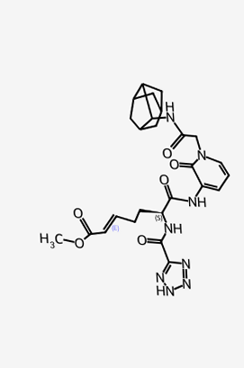 COC(=O)/C=C/CC[C@H](NC(=O)c1nn[nH]n1)C(=O)Nc1cccn(CC(=O)NC2C3CC4CC(C3)C2C4)c1=O